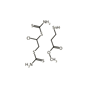 COC(=O)C[CH2][SnH].NC(=S)SCC(Cl)SC(N)=S